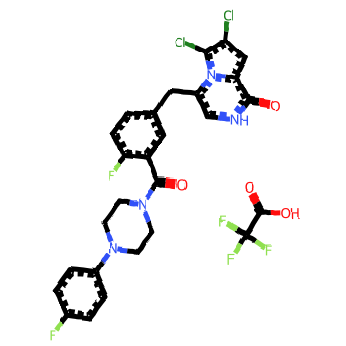 O=C(O)C(F)(F)F.O=C(c1cc(Cc2c[nH]c(=O)c3cc(Cl)c(Cl)n23)ccc1F)N1CCN(c2ccc(F)cc2)CC1